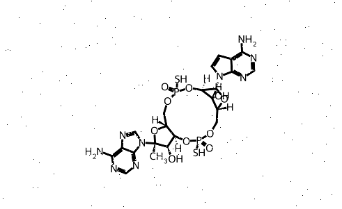 C[C@@]1(n2cnc3c(N)ncnc32)O[C@@H]2COP(=O)(S)O[C@@H]3[C@H](O)[C@@H](COP(=O)(S)O[C@H]2[C@H]1O)O[C@H]3n1ccc2c(N)ncnc21